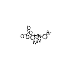 COCC1Oc2cc3ncnc(Nc4cccc(Br)c4)c3cc2OC1COC